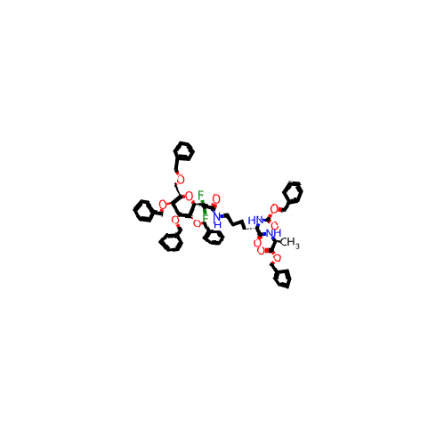 C[C@H](NC(=O)[C@H](CCCCNC(=O)C(F)(F)[C@@H]1O[C@H](COCc2ccccc2)[C@H](OCc2ccccc2)[C@H](OCc2ccccc2)[C@H]1OCc1ccccc1)NC(=O)OCc1ccccc1)C(=O)OCc1ccccc1